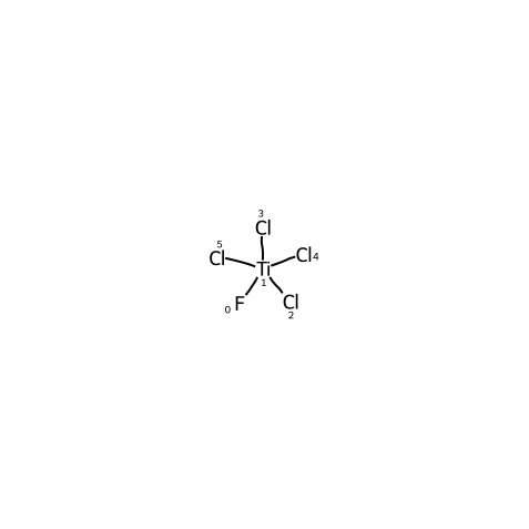 [F][Ti]([Cl])([Cl])([Cl])[Cl]